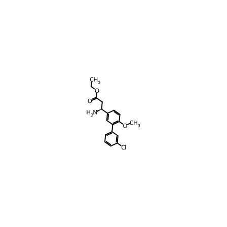 CCOC(=O)C[C@H](N)c1ccc(OC)c(-c2cccc(Cl)c2)c1